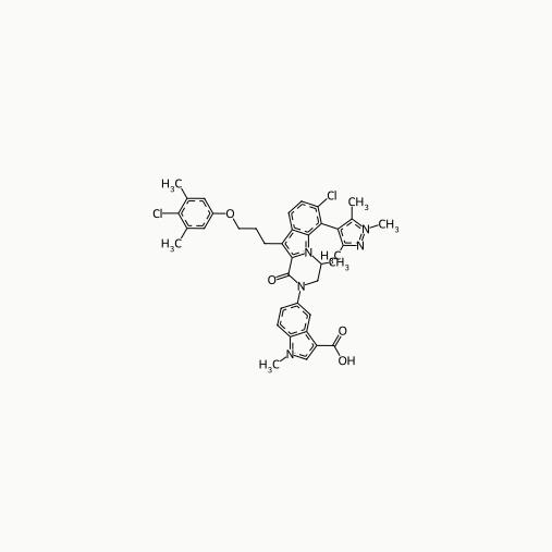 Cc1cc(OCCCc2c3n(c4c(-c5c(C)nn(C)c5C)c(Cl)ccc24)C(C)CN(c2ccc4c(c2)c(C(=O)O)cn4C)C3=O)cc(C)c1Cl